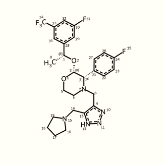 C[C@@H](O[C@H]1OCCN(Cc2nn[nH]c2CN2CCCC2)[C@H]1c1ccc(F)cc1)c1cc(F)cc(C(F)(F)F)c1